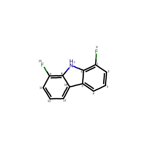 Fc1cccc2c1[nH]c1c(F)cccc12